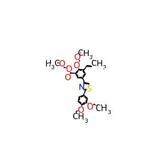 CC=Cc1cc(-c2csc(-c3ccc(OCC)c(OCC)c3)n2)cc(C(=O)OCOC)c1OCOC